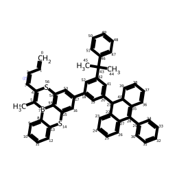 C=C/C=C\C1=C(C)B2c3ccccc3Sc3cc(-c4cc(C5c6ccccc6C(c6ccccc6)=C6C=CC=CC65)cc(C(C)(C)c5ccccc5)c4)cc(c32)S1